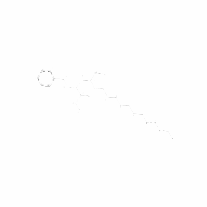 CCCCCCCCCCCCCC(CC)OC(OCc1ccccc1)C(C)CI